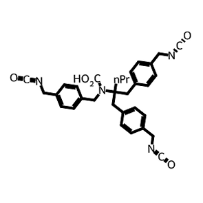 CCCC(Cc1ccc(CN=C=O)cc1)(Cc1ccc(CN=C=O)cc1)N(Cc1ccc(CN=C=O)cc1)C(=O)O